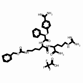 N=C(N)NCCCC(NC(=O)C(CCCCNC(=O)OCc1ccccc1)NC(=O)[C@@H](Cc1ccc(C(=N)N)cc1)c1ccccc1)C(N)=O.O=C(O)C(F)(F)F